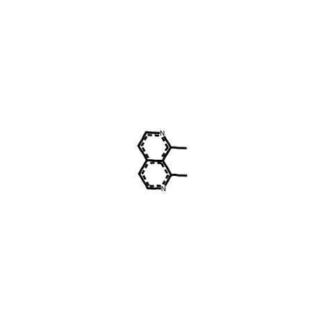 Cc1nccc2ccnc(C)c12